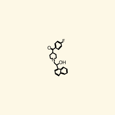 O=C(c1ccc(F)cc1)C1CCN(CC(O)c2cccc3ccccc23)CC1